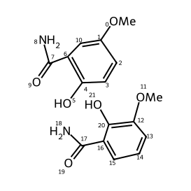 COc1ccc(O)c(C(N)=O)c1.COc1cccc(C(N)=O)c1O